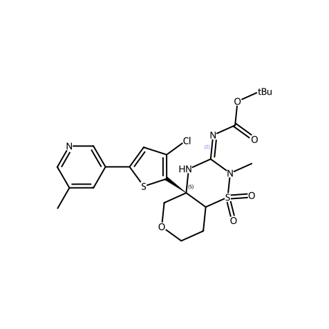 Cc1cncc(-c2cc(Cl)c([C@]34COCCC3S(=O)(=O)N(C)/C(=N\C(=O)OC(C)(C)C)N4)s2)c1